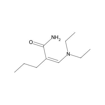 CCCC(=CN(CC)CC)C(N)=O